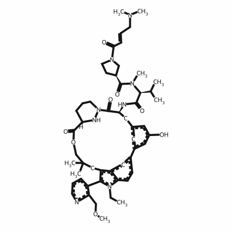 CCn1c(-c2cccnc2COC)c2c3cc(ccc31)-c1cc(O)cc(c1)C[C@H](NC(=O)[C@H](C(C)C)N(C)C(=O)[C@H]1CCN(C(=O)/C=C/CN(C)C)C1)C(=O)N1CCC[C@H](N1)C(=O)OCC(C)(C)C2